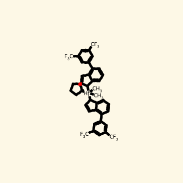 [CH3][Hf]([CH3])(=[C]1CCCC1)([CH]1C=Cc2c(-c3cc(C(F)(F)F)cc(C(F)(F)F)c3)cccc21)[CH]1C=Cc2c(-c3cc(C(F)(F)F)cc(C(F)(F)F)c3)cccc21